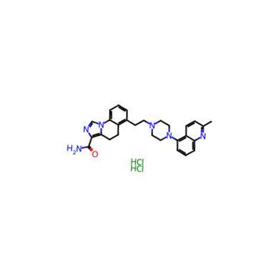 Cc1ccc2c(N3CCN(CCc4cccc5c4CCc4c(C(N)=O)ncn4-5)CC3)cccc2n1.Cl.Cl